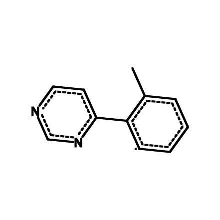 Cc1ccc[c]c1-c1ccncn1